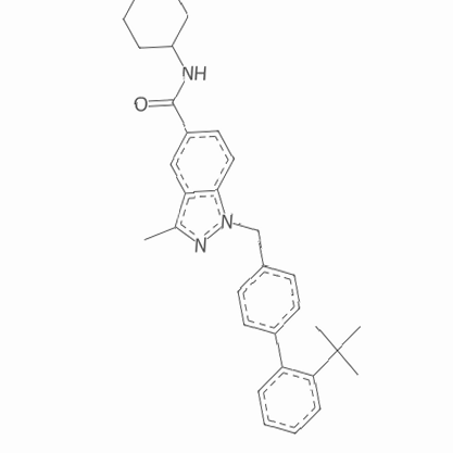 Cc1nn(Cc2ccc(-c3ccccc3C(C)(C)C)cc2)c2ccc(C(=O)NC3CCCCC3)cc12